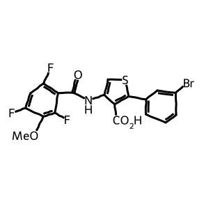 COc1c(F)cc(F)c(C(=O)Nc2csc(-c3cccc(Br)c3)c2C(=O)O)c1F